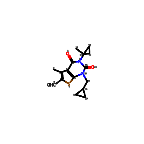 Cc1c(C=O)sc2c1c(=O)n(C1(C)CC1)c(=O)n2CC1CC1